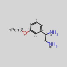 CCCCCOc1cccc(C(N)CN)c1